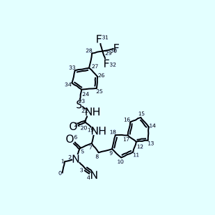 CCN(C#N)C(=O)C(Cc1ccc2ccccc2c1)NC(=O)NSc1ccc(CC(F)(F)F)cc1